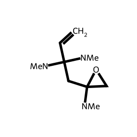 C=CC(CC1(NC)CO1)(NC)NC